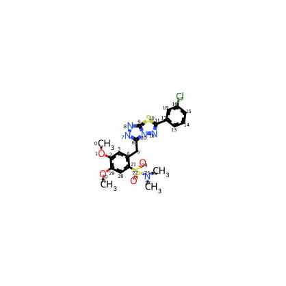 COc1cc(Cc2nnc3sc(-c4cccc(Cl)c4)nn23)c(S(=O)(=O)N(C)C)cc1OC